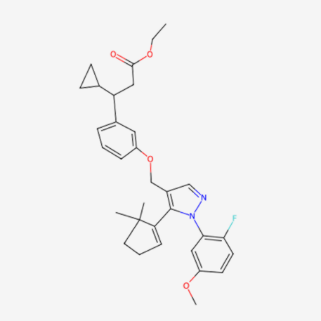 CCOC(=O)CC(c1cccc(OCc2cnn(-c3cc(OC)ccc3F)c2C2=CCCC2(C)C)c1)C1CC1